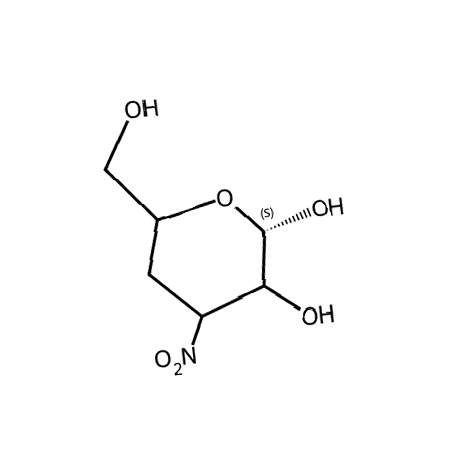 O=[N+]([O-])C1CC(CO)O[C@H](O)C1O